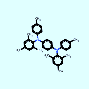 CCCCc1cc(C)c(N(c2ccc(C)cc2)c2ccc(N(c3ccc(C)cc3)c3c(C)cc(C)cc3C)cc2)c(C)c1